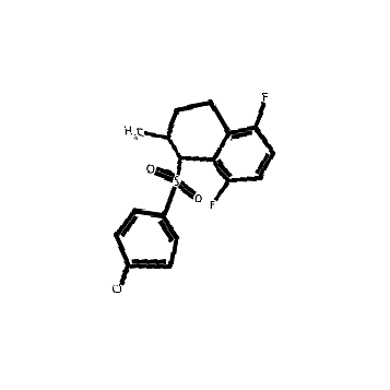 CC1CCc2c(F)ccc(F)c2C1S(=O)(=O)c1ccc(Cl)cc1